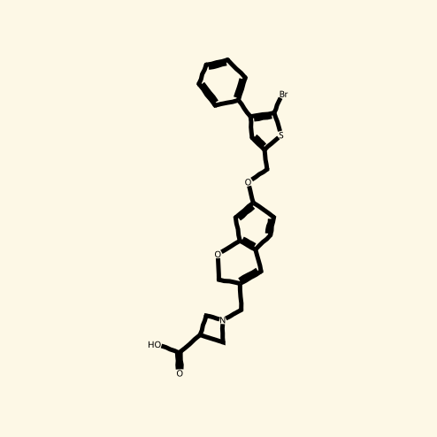 O=C(O)C1CN(CC2=Cc3ccc(OCc4cc(-c5ccccc5)c(Br)s4)cc3OC2)C1